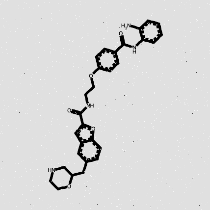 Nc1ccccc1NC(=O)c1ccc(OCCNC(=O)c2cc3cc(CC4CNCCO4)ccc3o2)cc1